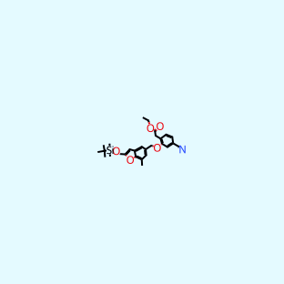 CCOC(=O)Cc1ccc(C#N)cc1OCc1cc(C)c2oc(CO[Si](C)(C)C(C)(C)C)cc2c1